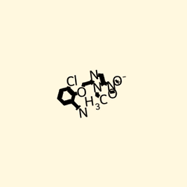 CCn1c([N+](=O)[O-])cnc1COc1c(Cl)cccc1C#N